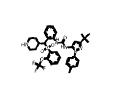 Cc1ccc(-n2nc(C(C)(C)C)cc2NC(=O)Nc2ccccc2C(C2CCNCC2)S(=O)(=O)c2ccccc2OC(F)(F)F)cc1